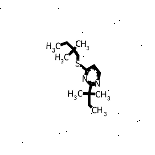 CCC(C)(C)CSc1ccnc(C(C)(C)CC)n1